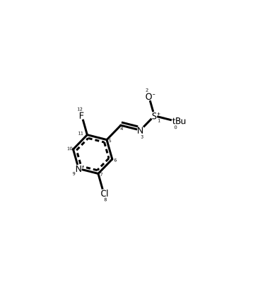 CC(C)(C)[S+]([O-])N=Cc1cc(Cl)ncc1F